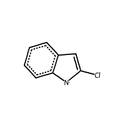 ClC1=Cc2ccccc2[N]1